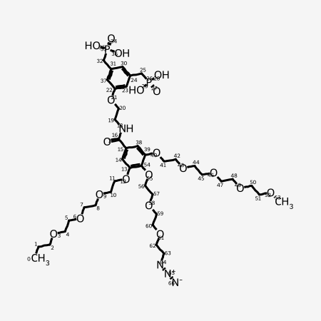 CCCOCCOCCOCCOc1cc(C(=O)NCCOc2cc(CP(=O)(O)O)cc(CP(=O)(O)O)c2)cc(OCCOCCOCCOCCOC)c1OCCOCCOCCN=[N+]=[N-]